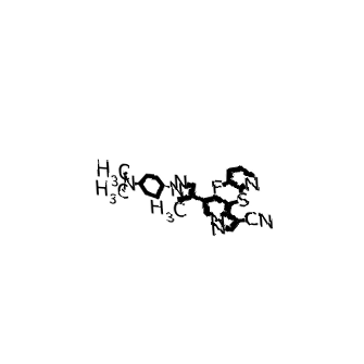 Cc1c(-c2cc(Sc3ncccc3F)c3c(C#N)cnn3c2)cnn1[C@H]1CC[C@H](N(C)C)CC1